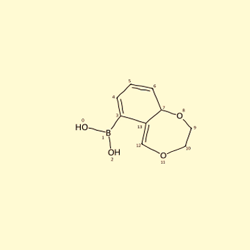 OB(O)C1=CC=CC2OCCOC=C12